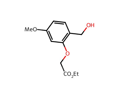 CCOC(=O)COc1cc(OC)ccc1CO